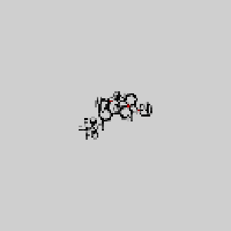 CS(=O)(=O)c1cccc(CN2C3CC2CN(c2ccc(-c4cc(OS(=O)(=O)C(F)(F)F)cn5ncc(C#N)c45)cn2)C3)c1